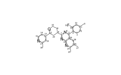 Cc1ccc(-c2nc(C3CCOC(c4ccnc(C)c4)C3)nc3nc(C)c(C)cc23)c(F)c1